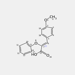 COc1ccc(/C=C(\Oc2ccccc2)C(=O)O)cc1